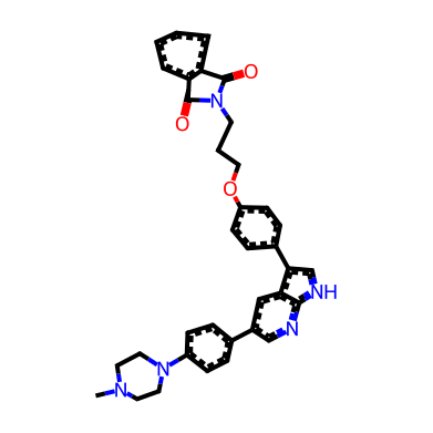 CN1CCN(c2ccc(-c3cnc4[nH]cc(-c5ccc(OCCCN6C(=O)c7ccccc7C6=O)cc5)c4c3)cc2)CC1